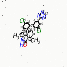 CC[C@@]12CC[C@@H](c3ccc(C4=NCN=N4)cc3Cl)[C@H](c3ccc(Cl)cc3)[C@@H]1[C@@H](C)NC2=O